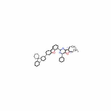 C/C=c1\c(=C/C)oc2c(-c3ccccc3)nc(-c3cccc4c3oc3cc(-c5ccc6c(c5)C5(CCCCC5)c5ccccc5-6)ccc34)nc12